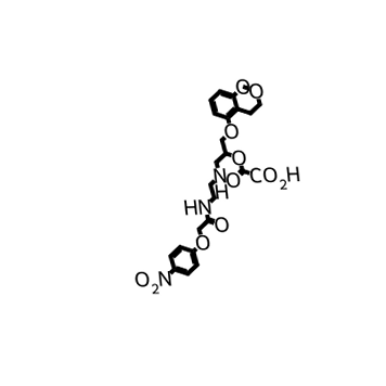 O=C(COc1ccc([N+](=O)[O-])cc1)NCCNCC(COc1cccc2c1CCOO2)OC(=O)C(=O)O